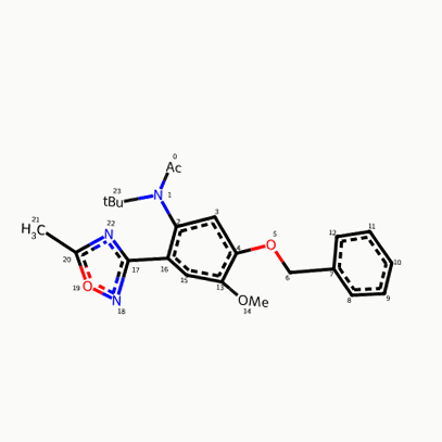 [CH2]C(=O)N(c1cc(OCc2ccccc2)c(OC)cc1-c1noc(C)n1)C(C)(C)C